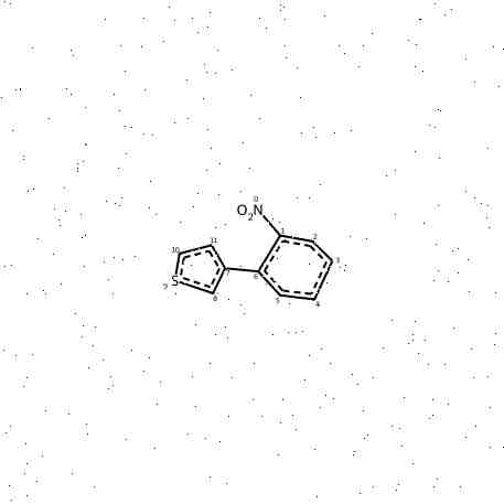 O=[N+]([O-])c1ccccc1-c1[c]scc1